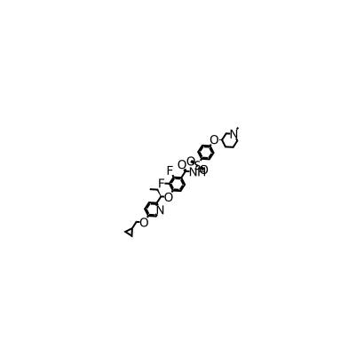 CC[C@@H](Oc1ccc(C(=O)NS(=O)(=O)c2ccc(O[C@H]3CCCN(C)C3)cc2)c(F)c1F)c1ccc(OCC2CC2)cn1